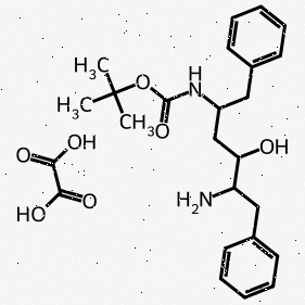 CC(C)(C)OC(=O)NC(Cc1ccccc1)CC(O)C(N)Cc1ccccc1.O=C(O)C(=O)O